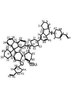 C=CC1=CCC(N2C3=CCCCC3C3C=C(C4CCC(N(C5C=CC6C7C=CC=CC7C(C7C=CC(OC8C=CC(C=C)CC8)CC7)(C7CCCCC7)C6C5)C5CC=C(C(C)(C)C)CC5)CC4)C=CC32)CC1